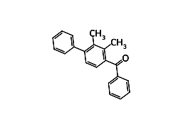 Cc1c(C(=O)c2ccccc2)ccc(-c2ccccc2)c1C